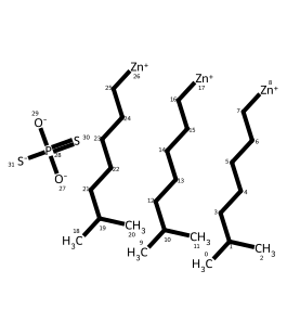 CC(C)CCCC[CH2][Zn+].CC(C)CCCC[CH2][Zn+].CC(C)CCCC[CH2][Zn+].[O-]P([O-])(=S)[S-]